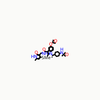 CSc1cc(C)[nH]c(=O)c1CNC(=O)c1c(C)n([C@H](C)C2CCC(NC3(C)COC3)CC2)c2ccc(OC3COC3)cc12